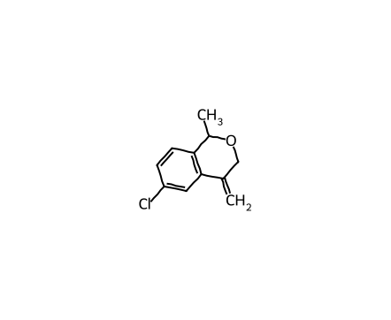 C=C1COC(C)c2ccc(Cl)cc21